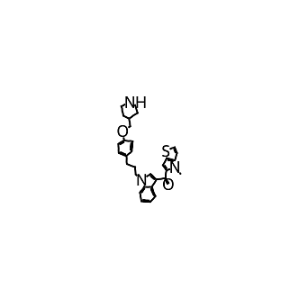 Cn1c(C(=O)c2cn(CCCc3ccc(OCC4CCNCC4)cc3)c3ccccc23)cc2sccc21